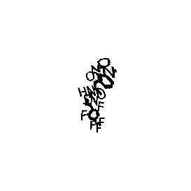 Cn1c(=O)c2c(CC(=O)Nc3nc(-c4c(F)cc(C(F)(F)F)cc4F)cs3)cccc2n(C)c1=O